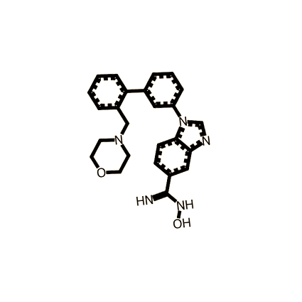 N=C(NO)c1ccc2c(c1)ncn2-c1cccc(-c2ccccc2CN2CCOCC2)c1